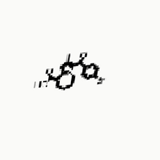 Cc1cc2n(c1C(=O)c1ccc(Br)cc1)CCCCC2C(=O)O